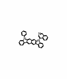 c1ccc(-n2c3ccccc3c3cc4cc5c6ccccc6n(-c6cncc7ccccc67)c5cc4cc32)cc1